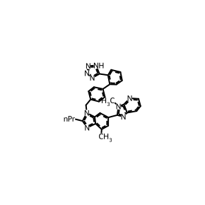 CCCc1nc2c(C)cc(-c3nc4cccnc4n3C)cc2n1Cc1ccc(-c2ccccc2-c2nnn[nH]2)cc1